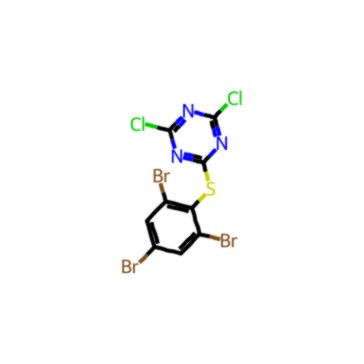 Clc1nc(Cl)nc(Sc2c(Br)cc(Br)cc2Br)n1